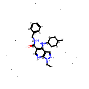 CCn1ncc2c(NC3CCC(C)CC3)c(C(=O)NCc3ccccc3)cnc21